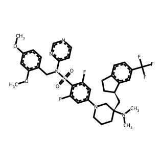 COc1ccc(CN(c2ccncn2)S(=O)(=O)c2c(F)cc(N3CCC[C@@](C[C@H]4CCc5ccc(C(F)(F)F)cc54)(N(C)C)C3)cc2F)c(OC)c1